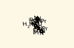 CC(C)c1ncnc(C(C)C)c1N(Cl)C(=O)c1nc(C(=O)N(Cl)c2c(C(C)C)ncnc2C(C)C)c(C(N)=O)cc1F